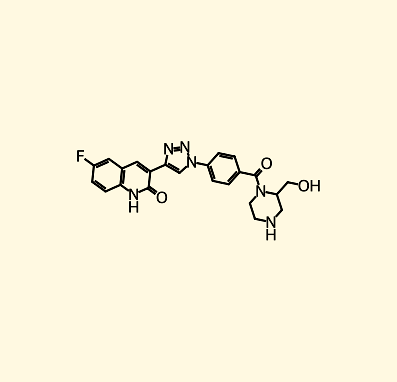 O=C(c1ccc(-n2cc(-c3cc4cc(F)ccc4[nH]c3=O)nn2)cc1)N1CCNCC1CO